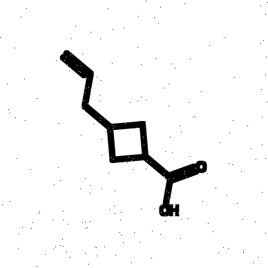 C=CCC1CC(C(=O)O)C1